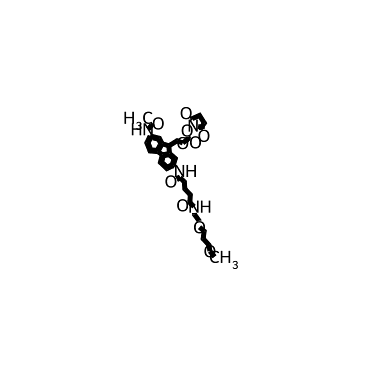 COCCCOCCNC(=O)CCCC(=O)Nc1ccc2c(c1)C(COC(=O)ON1C(=O)CCC1=O)c1cc(NC(C)=O)ccc1-2